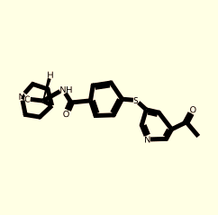 CC(=O)c1cncc(Sc2ccc(C(=O)N[C@H]3CN4CCC3CC4)cc2)c1